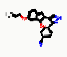 C=CCOC1=CCC2=CC(c3c[nH]nc3-c3ccc(C#N)cc3)=C(O)C2=C1